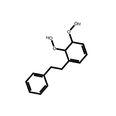 OOC1C=CC=C(CCc2ccccc2)C1OO